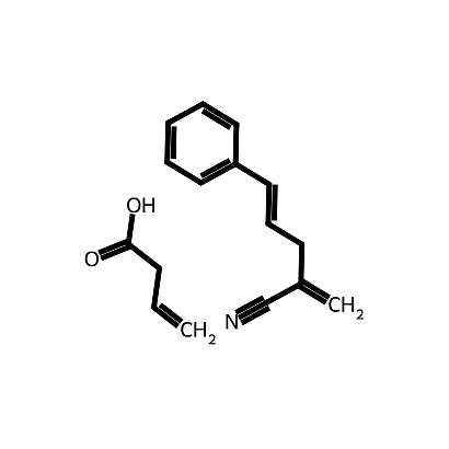 C=C(C#N)CC=Cc1ccccc1.C=CCC(=O)O